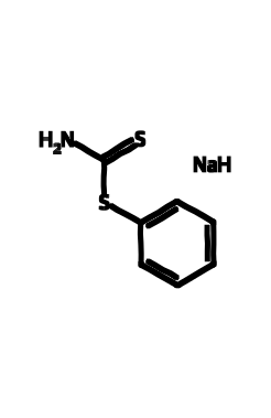 NC(=S)Sc1ccccc1.[NaH]